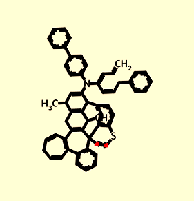 C=C/C=C(\C=C/Cc1ccccc1)N(C1=CC(C)C2=C3C(C)C4=C(C2)C2=C(C=CCC=C2)c2ccccc2C42c4ccccc4Sc4ccc(cc42)C13)c1ccc(-c2ccccc2)cc1